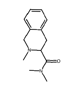 CN(C)C(=O)C1Cc2ccccc2CN1C